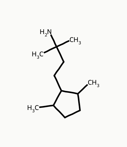 CC1CCC(C)C1CCC(C)(C)N